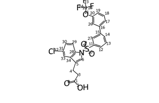 O=C(O)CCc1cn(S(=O)(=O)c2cccc(-c3cccc(OC(F)(F)F)c3)c2)c2ccc(Cl)cc12